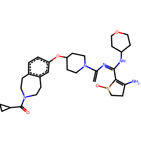 C=C(/N=C(/NC1CCOCC1)C1=C(N)CC[S+]1[O-])N1CCC(Oc2ccc3c(c2)CCN(C(=O)C2CC2)CC3)CC1